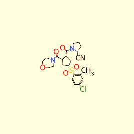 Cc1cc(Cl)ccc1S(=O)(=O)[C@H]1C[C@@H](C(=O)N2CCOCC2)[C@H](C(=O)N2CCCC2C#N)C1